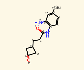 CC(C)(C)c1ccc(NC(=O)CCC2CC(=O)C2)c(N)c1